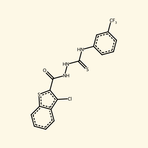 O=C(NNC(=S)Nc1cccc(C(F)(F)F)c1)c1sc2ccccc2c1Cl